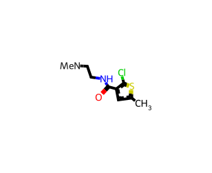 CNCCNC(=O)c1cc(C)sc1Cl